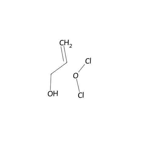 C=CCO.ClOCl